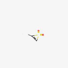 CC1=CS1(=O)=O